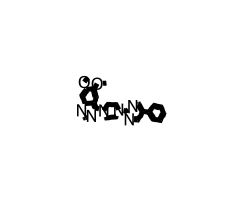 COc1cc2ncnc(N3CCN(c4ncc(-c5ccccc5)cn4)CC3)c2cc1OC